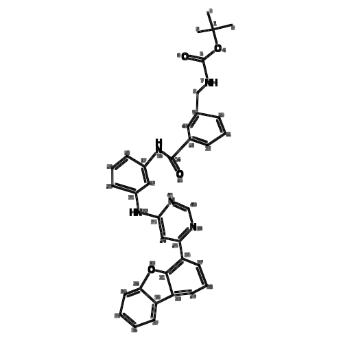 CC(C)(C)OC(=O)NCc1cccc(C(=O)Nc2cccc(Nc3cc(-c4cccc5c4oc4ccccc45)ncn3)c2)c1